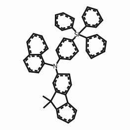 CC1(C)c2ccccc2-c2ccc(N(c3ccc([Si](c4ccccc4)(c4ccccc4)c4ccccc4)cc3)c3cccc4ccccc34)cc21